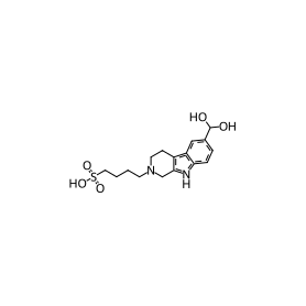 O=S(=O)(O)CCCCN1CCc2c([nH]c3ccc(C(O)O)cc23)C1